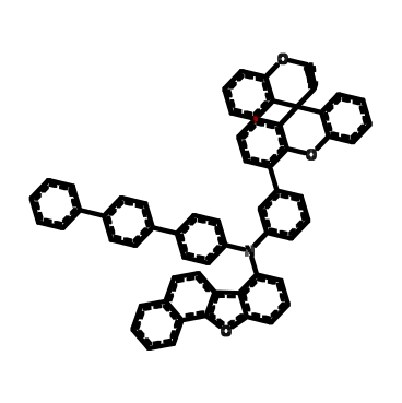 c1ccc(-c2ccc(-c3ccc(N(c4cccc(-c5cccc6c5Oc5ccccc5C65c6ccccc6Oc6ccccc65)c4)c4cccc5oc6c7ccccc7ccc6c45)cc3)cc2)cc1